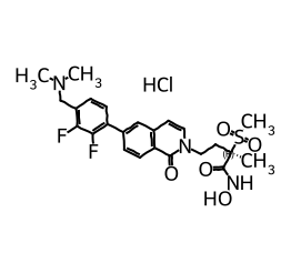 CN(C)Cc1ccc(-c2ccc3c(=O)n(CC[C@](C)(C(=O)NO)S(C)(=O)=O)ccc3c2)c(F)c1F.Cl